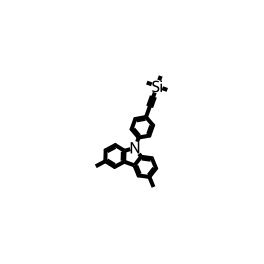 Cc1ccc2c(c1)c1cc(C)ccc1n2-c1ccc(C#C[Si](C)(C)C)cc1